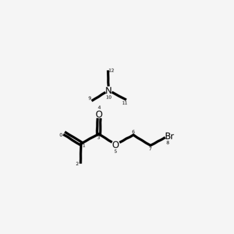 C=C(C)C(=O)OCCBr.CN(C)C